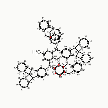 Cc1cc(N(c2ccc3c(c2)C2C4=CC3(C=CC=C4)c3ccccc32)c2ccc3c(c2)C2c4ccccc4C24c2ccccc2C34)c(Cl)c(N(c2ccc3c(c2)C2c4ccccc4C3c3ccccc32)c2ccc3c(c2)C2c4ccccc4C24c2ccccc2C34)c1